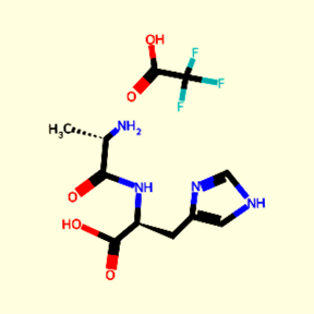 C[C@H](N)C(=O)N[C@@H](Cc1c[nH]cn1)C(=O)O.O=C(O)C(F)(F)F